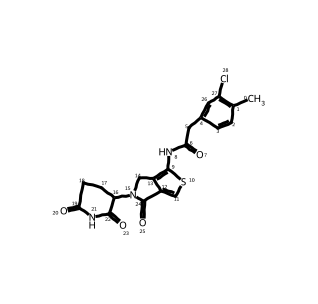 Cc1ccc(CC(=O)Nc2scc3c2CN(C2CCC(=O)NC2=O)C3=O)cc1Cl